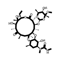 CC[C@H]1OC(=O)[C@H](C)[C@@H](O[C@@H]2O[C@@H](C)[C@H](O)[C@](C)(OC)O2)[C@H](C)[C@@H](O[C@@H]2C[C@H](C)C[C@H](N(C)C(=O)NC)[C@H]2O)[C@@](C)(OC)C[C@@H](C)C(=O)[C@H](C)[C@@H](O)[C@]1(C)O